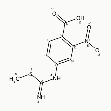 CSC(=N)Nc1ccc(C(=O)O)c([N+](=O)[O-])c1